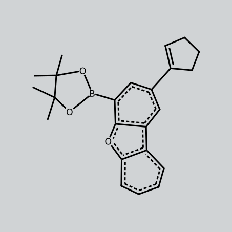 CC1(C)OB(c2cc(C3=CCCC3)cc3c2oc2ccccc23)OC1(C)C